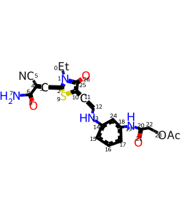 CCn1c(=C=C(C#N)C(N)=O)sc(=C=CNc2cccc(NC(=O)COC(C)=O)c2)c1=O